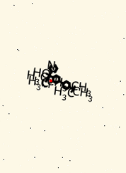 CC(C)(C)c1ccc(-c2ccc(C(O)(c3cccnc3)C(C)(C)C)c(Cl)c2)cc1